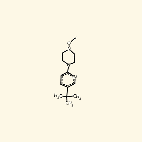 CC(C)(C)c1ccc(N2CCN(OI)CC2)nc1